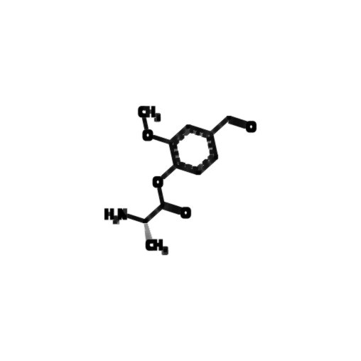 COc1cc(C=O)ccc1OC(=O)[C@H](C)N